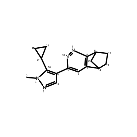 Cn1ncc(-c2cc3c(nn2)C2CCC3C2)c1C1CC1